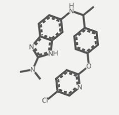 CC(Nc1ccc2nc(N(C)C)[nH]c2c1)c1ccc(Oc2ccc(Cl)cn2)cc1